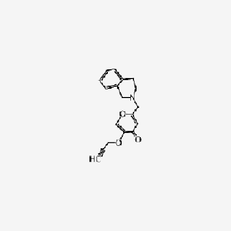 C#CCOc1coc(CN2CCc3ccccc3C2)cc1=O